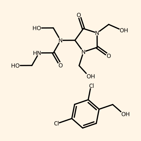 O=C1C(N(CO)C(=O)NCO)N(CO)C(=O)N1CO.OCc1ccc(Cl)cc1Cl